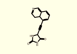 O=C1NC(=O)C(C#CC2=CC=CC3=CN=CCC23)N1